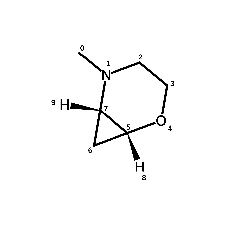 CN1CCO[C@@H]2C[C@@H]21